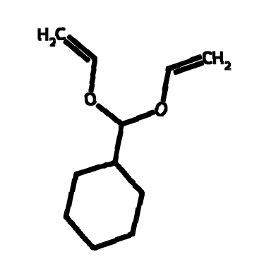 C=COC(OC=C)C1CCCCC1